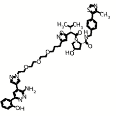 Cc1ncsc1-c1ccc(CNC(=O)[C@@H]2C[C@@H](O)CN2C(=O)[C@H](c2cc(CCCOCCOCCOCCn3cc(-c4cc(-c5ccccc5O)nnc4N)cn3)no2)C(C)C)cc1